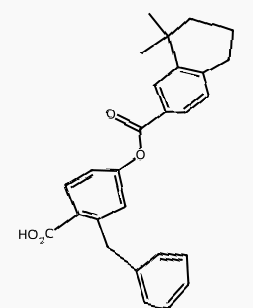 CC1(C)CCCc2ccc(C(=O)Oc3ccc(C(=O)O)c(Cc4ccccc4)c3)cc21